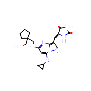 O=C1NC(=O)/C(=C/c2cnn3c(NC4CC4)cc(NCC4(CO)CCCC4)nc23)N1